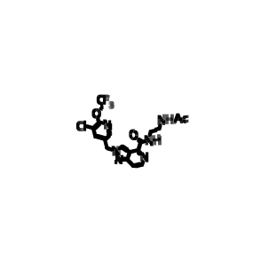 CC(=O)NCCNC(=O)c1nccc2nn(Cc3cnc(OCC(F)(F)F)c(Cl)c3)cc12